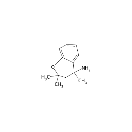 CC1(C)CC(C)(N)c2ccccc2O1